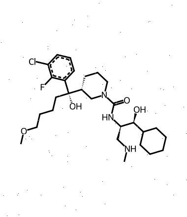 CNC[C@@H](NC(=O)N1CCC[C@@H]([C@@](O)(CCCCOC)c2cccc(Cl)c2F)C1)[C@@H](O)C1CCCCC1